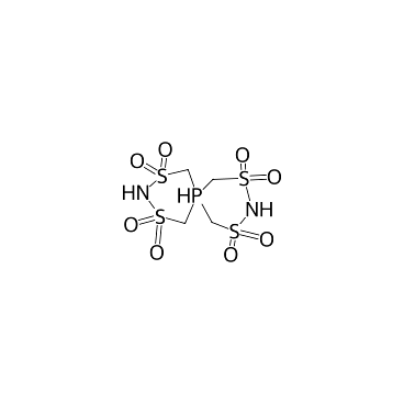 O=S1(=O)C[PH]2(CS(=O)(=O)N1)CS(=O)(=O)NS(=O)(=O)C2